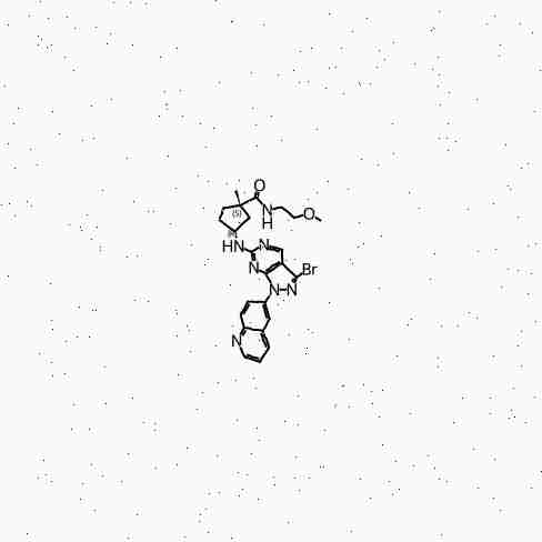 COCCNC(=O)[C@@]1(C)CC[C@@H](Nc2ncc3c(Br)nn(-c4ccc5ncccc5c4)c3n2)C1